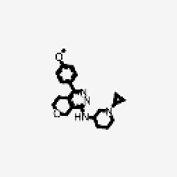 COc1ccc(-c2nnc(NC3CCCN(C4CC4)C3)c3c2CCOC3)cc1